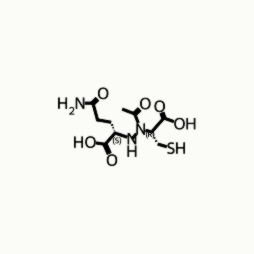 CC(=O)N(N[C@@H](CCC(N)=O)C(=O)O)[C@@H](CS)C(=O)O